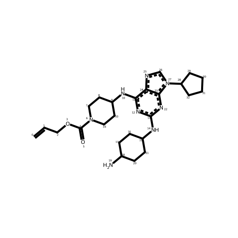 C=CCOC(=O)N1CCC(Nc2nc(NC3CCC(N)CC3)nc3c2ncn3C2CCCC2)CC1